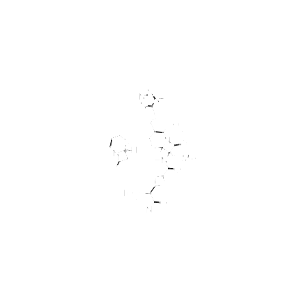 CO[C@@]1(NC(=O)C2SC(=C(C(N)=O)C(=O)O)S2)C(=O)N2C(C(=O)O)=C(CSc3nnnn3C)CS[C@@H]21.O=C1C[C@H]2SCC=CN12